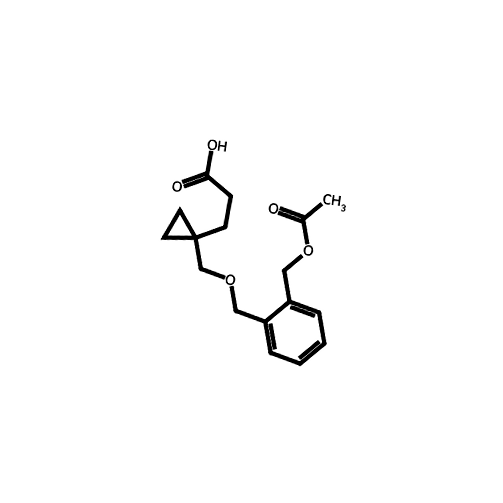 CC(=O)OCc1ccccc1COCC1(CCC(=O)O)CC1